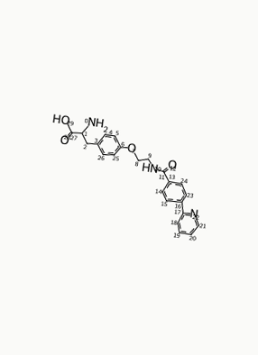 NC(Cc1ccc(OCCNC(=O)c2ccc(-c3ccccn3)cc2)cc1)C(=O)O